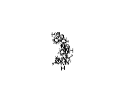 Cc1cnc(Nc2cc(C)n(C)n2)nc1-c1c[nH]c2c(N3Cc4c(cccc4-c4ccccc4C(=O)O)C3=O)cccc12